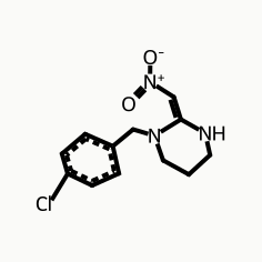 O=[N+]([O-])/C=C1/NCCCN1Cc1ccc(Cl)cc1